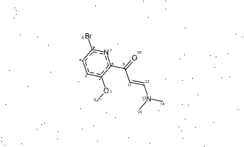 COc1ccc(Br)nc1C(=O)/C=C/N(C)C